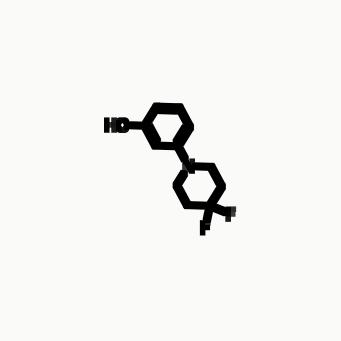 Oc1cccc(N2CCC(F)(F)CC2)c1